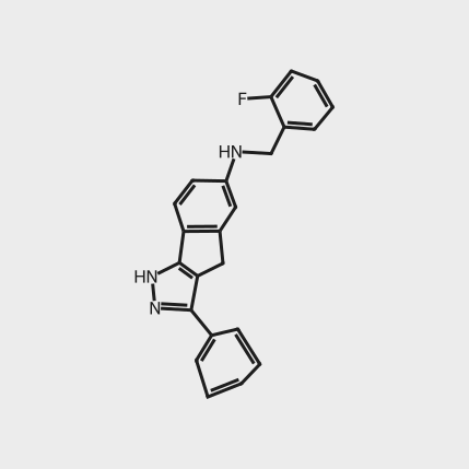 Fc1ccccc1CNc1ccc2c(c1)Cc1c(-c3ccccc3)n[nH]c1-2